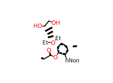 C=C.C=C.C=C.C=C.C=CC(=O)Oc1ccccc1CCCCCCCCC.CCOCC.OCCO